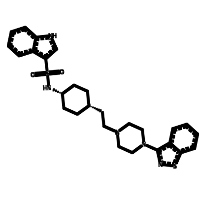 O=S(=O)(N[C@H]1CC[C@@H](CCN2CCN(c3nsc4ccccc34)CC2)CC1)c1c[nH]c2ccccc12